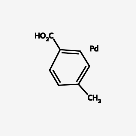 Cc1ccc(C(=O)O)cc1.[Pd]